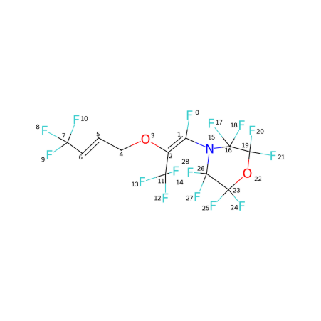 F/C(=C(\OC/C=C/C(F)(F)F)C(F)(F)F)N1C(F)(F)C(F)(F)OC(F)(F)C1(F)F